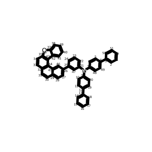 c1ccc(-c2ccc(N(c3ccc(-c4ccccc4)cc3)c3cccc(-c4ccc5ccc6ccc7oc8ccccc8c7c6c5c4)c3)cc2)cc1